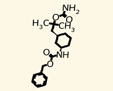 CC(C)(C[C@H]1CCC[C@@H](NC(=O)OCc2ccccc2)C1)OC(N)=O